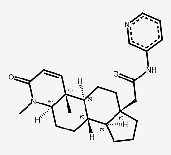 CN1C(=O)C=C[C@]2(C)[C@H]3CC[C@]4(CC(=O)Nc5cccnc5)CCC[C@H]4[C@@H]3CC[C@@H]12